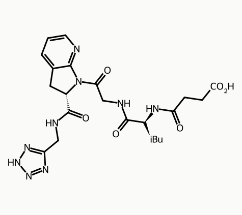 CC[C@H](C)[C@H](NC(=O)CCC(=O)O)C(=O)NCC(=O)N1c2ncccc2C[C@H]1C(=O)NCc1nn[nH]n1